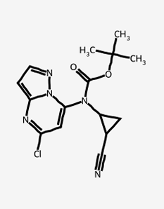 CC(C)(C)OC(=O)N(c1cc(Cl)nc2ccnn12)C1CC1C#N